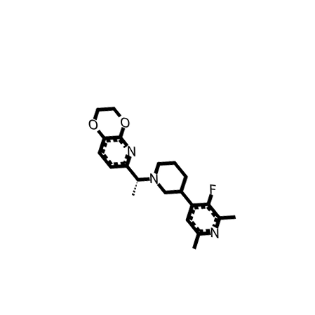 Cc1cc(C2CCCN([C@H](C)c3ccc4c(n3)OCCO4)C2)c(F)c(C)n1